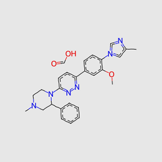 COc1cc(-c2ccc(N3CCN(C)CC3c3ccccc3)nn2)ccc1-n1cnc(C)c1.O=CO